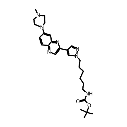 CN1CCN(c2ccc3ncc(-c4cnn(CCCCCCNC(=O)OC(C)(C)C)c4)nc3c2)CC1